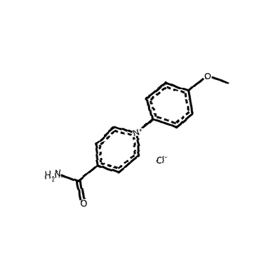 COc1ccc(-[n+]2ccc(C(N)=O)cc2)cc1.[Cl-]